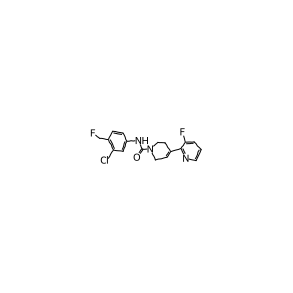 O=C(Nc1ccc(CF)c(Cl)c1)N1CC=C(c2ncccc2F)CC1